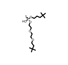 CC(C)(C)CCCOP(O)(=S)OCCOCCOCCC(C)(C)C